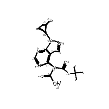 CC(C)(C)OC(=O)N(C(=O)O)c1ncnc2c1cnn2C1CC1Br